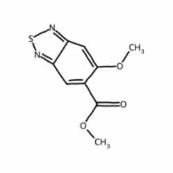 COC(=O)c1cc2nsnc2cc1OC